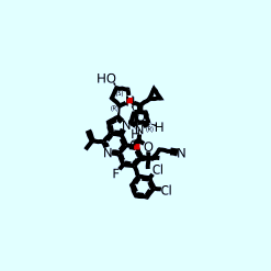 C=C(C)c1nc2c(F)c(-c3cccc(Cl)c3Cl)c(CCC#N)cc2c2c1cc([C@H]1C[C@H](O)CN1C(=O)C1CC1)n2[C@H]1[C@@H]2C[C@H]1N(C(=O)OC(C)(C)C)C2